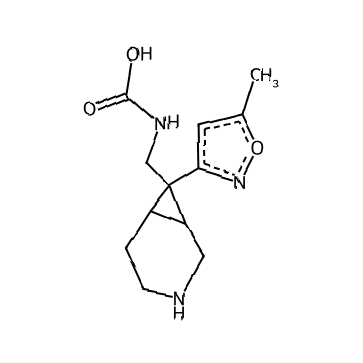 Cc1cc(C2(CNC(=O)O)C3CCNCC32)no1